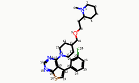 CN1CCCCC1CCOCC1CCN(c2ncnc3scc(-c4cccc(F)c4)c23)CC1